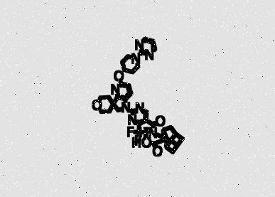 O=C(NC1(C(=O)O)C2CC3CC4CC1C34C2)c1cnc(N2CC3(CCOCC3)c3nc(OC4CCN(c5ncccn5)CC4)ccc32)nc1C(F)(F)F